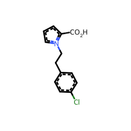 O=C(O)c1cccn1CCc1ccc(Cl)cc1